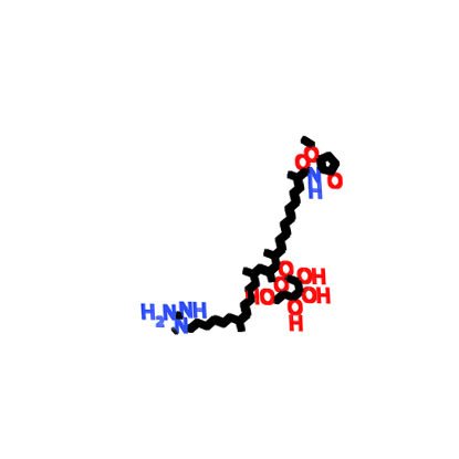 CCOC1=C(NC(=O)/C(C)=C/C=C/C=C/C=C/C=C/C(C)C(OC2OC(CO)C(O)C(O)C2O)/C(C)=C/C(C)CCC/C=C/C(C)C/C=C/CCCN(C)C(=N)N)C(=O)CC1